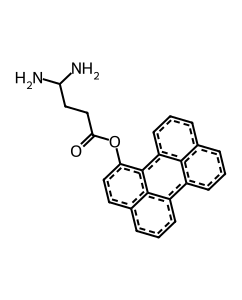 NC(N)CCC(=O)Oc1ccc2cccc3c4cccc5cccc(c1c23)c54